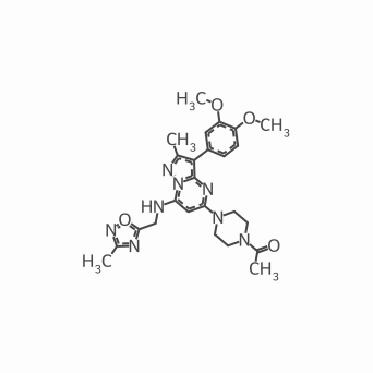 COc1ccc(-c2c(C)nn3c(NCc4nc(C)no4)cc(N4CCN(C(C)=O)CC4)nc23)cc1OC